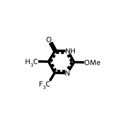 COc1nc(C(F)(F)F)c(C)c(=O)[nH]1